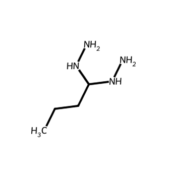 CCCC(NN)NN